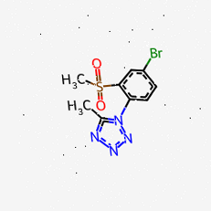 Cc1nnnn1-c1ccc(Br)cc1S(C)(=O)=O